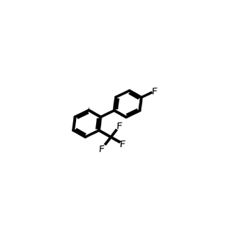 Fc1ccc(-c2[c]cccc2C(F)(F)F)cc1